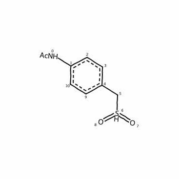 CC(=O)Nc1ccc(C[SH](=O)=O)cc1